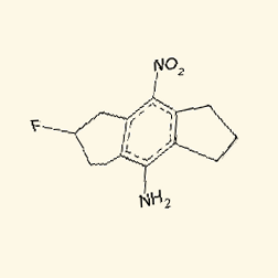 Nc1c2c(c([N+](=O)[O-])c3c1CC(F)C3)CCC2